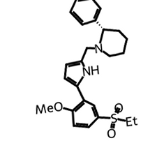 CCS(=O)(=O)c1ccc(OC)c(-c2ccc(CN3CCCC[C@H]3c3ccccc3)[nH]2)c1